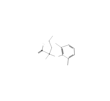 CCCC(C)(Oc1c(C)cccc1C)C(N)=O